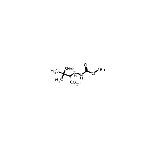 CSC(C)(C)[C@H](NNC(=O)OC(C)(C)C)C(=O)O